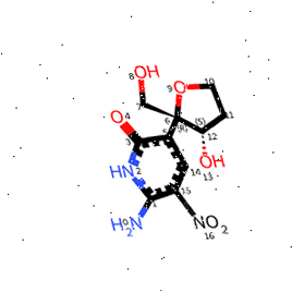 Nc1[nH]c(=O)c([C@]2(CO)OCC[C@@H]2O)cc1[N+](=O)[O-]